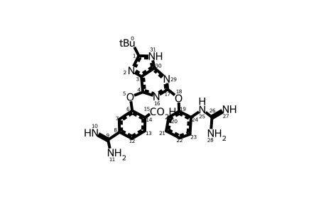 CC(C)(C)c1nc2c(Oc3cc(C(=N)N)ccc3C(=O)O)nc(Oc3ccccc3NC(=N)N)nc2[nH]1